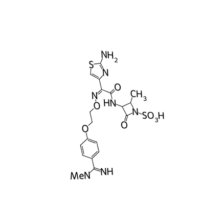 CNC(=N)c1ccc(OCCO/N=C(\C(=O)NC2C(=O)N(S(=O)(=O)O)C2C)c2csc(N)n2)cc1